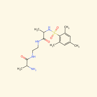 Cc1cc(C)c(S(=O)(=O)NC(C)C(=O)NCCNC(=O)C(C)N)c(C)c1